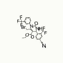 CCOC(=O)C1=C(CBr)N(c2cccc(C(F)(F)F)c2)C(=O)NC1c1ccc(C#N)cc1C(F)(F)F